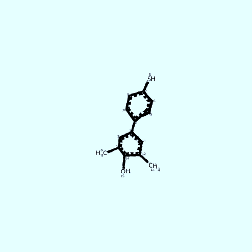 Cc1cc(-c2ccc(S)cc2)cc(C)c1O